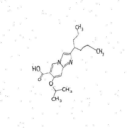 CCCC(CCC)c1cn2cc(C(=O)O)c(OC(C)C)cc2n1